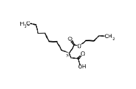 CCCCCCC[C@H](CC(=O)O)C(=O)OCCCC